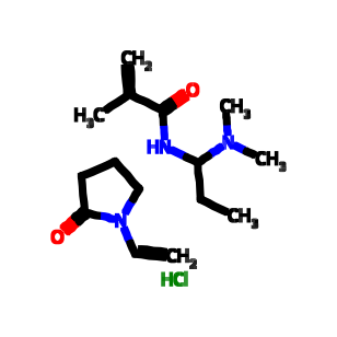 C=C(C)C(=O)NC(CC)N(C)C.C=CN1CCCC1=O.Cl